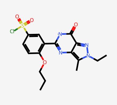 CCCOc1ccc(S(=O)(=O)Cl)cc1C1=Nc2c(nn(CC)c2C)C(=O)[N]1